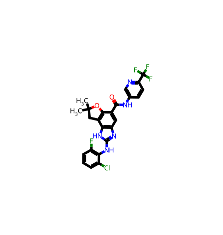 CC1(C)Cc2c(c(C(=O)Nc3ccc(C(F)(F)F)nc3)cc3nc(Nc4c(F)cccc4Cl)[nH]c23)O1